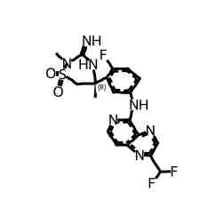 CN1C(=N)N[C@](C)(c2cc(Nc3nccc4nc(C(F)F)cnc34)ccc2F)CS1(=O)=O